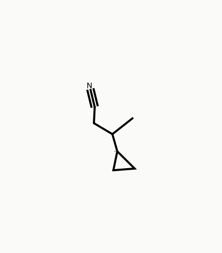 CC(CC#N)[C]1CC1